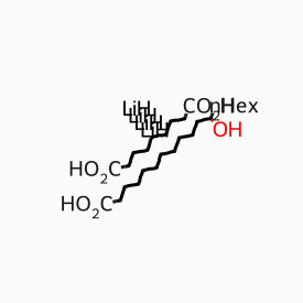 CCCCCCC(O)CCCCCCCCCCC(=O)O.O=C(O)CCCCCCCC(=O)O.[LiH].[LiH].[LiH].[LiH]